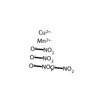 O=[N+]([O-])[O-].O=[N+]([O-])[O-].O=[N+]([O-])[O-].O=[N+]([O-])[O-].[Cu+2].[Mn+2]